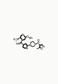 Cc1oncc1[S+]([O-])N1CCN(c2cc(C(=N)c3cc(OC(C)C)ncc3N)ccn2)CC1